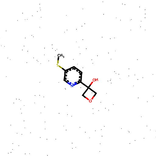 CSc1ccc(C2(O)COC2)nc1